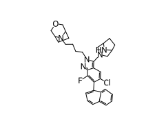 Fc1c(-c2cccc3ccccc23)c(Cl)cc2c(N3CC4CCC(C3)N4)n(CCCCN3C4CCC3COC4)nc12